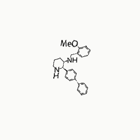 COc1ccccc1CN[C@@H]1CCCN[C@@H]1c1ccc(-c2ccccc2)cc1